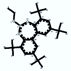 [CH2]COp1oc2c(C(C)(C)C)cc(C(C)(C)C)cc2c2cc(C(C)(C)C)cc(C(C)(C)C)c2o1